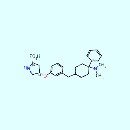 CN(C)C1(c2ccccc2)CCC(Cc2cccc(O[C@@H]3CN[C@H](C(=O)O)C3)c2)CC1